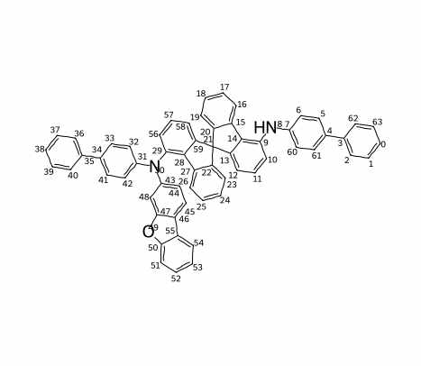 c1ccc(-c2ccc(Nc3cccc4c3-c3ccccc3C43c4ccccc4-c4c(N(c5ccc(-c6ccccc6)cc5)c5ccc6c(c5)oc5ccccc56)cccc43)cc2)cc1